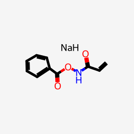 C=CC(=O)NOC(=O)c1ccccc1.[NaH]